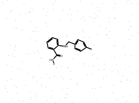 O=C(NF)c1ccccc1NCc1ccc(F)cc1